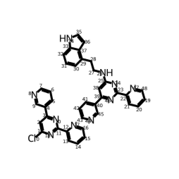 Clc1cc(-c2cccnc2)nc(-c2ccccn2)n1.c1ccc(-c2nc(NCCc3cccc4[nH]ccc34)cc(-c3cccnc3)n2)nc1